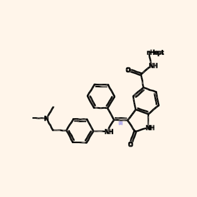 CCCCCCCNC(=O)c1ccc2c(c1)/C(=C(/Nc1ccc(CN(C)C)cc1)c1ccccc1)C(=O)N2